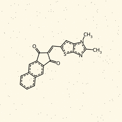 Cc1nc2sc(C=C3C(=O)c4cc5ccccc5cc4C3=O)cc2n1C